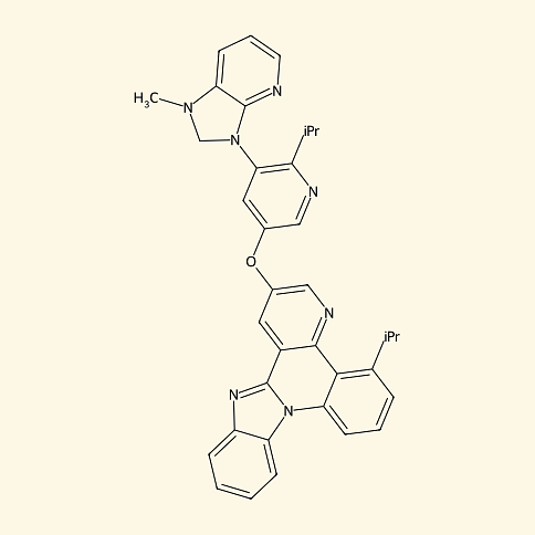 CC(C)c1ncc(Oc2cnc3c(c2)c2nc4ccccc4n2c2cccc(C(C)C)c32)cc1N1CN(C)c2cccnc21